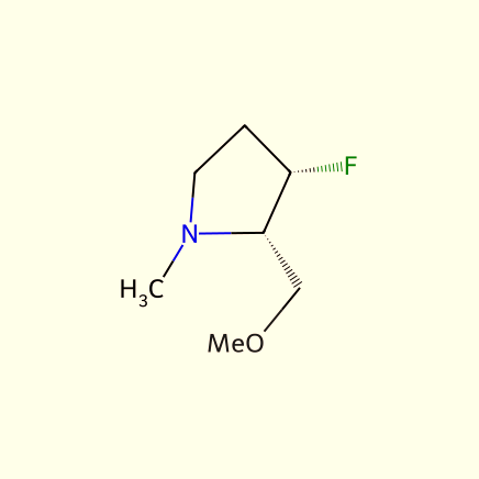 COC[C@H]1[C@@H](F)CCN1C